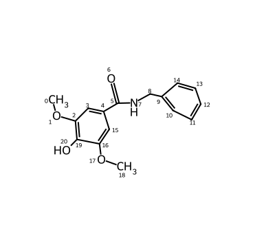 COc1cc(C(=O)NCc2ccccc2)cc(OC)c1O